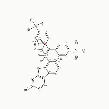 CC[Si](CC)(CC)c1ccc([C](c2ccc([Si](CC)(CC)CC)cc2)=[Hf]([CH3])([CH3])([c]2c(C(C)(C)C)ccc3c2Cc2cc(C(C)(C)C)ccc2-3)[CH]2C=CC=C2)cc1